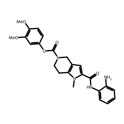 COc1ccc(OC(=O)N2CCc3c(cc(C(=O)Nc4ccccc4N)n3C)C2)cc1OC